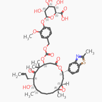 C=CC[C@H]1C(=O)C(C)(C)[C@@H](OC(=O)OCc2ccc(O[C@@H]3O[C@H](C(=O)O)[C@@H](O)[C@H](O)[C@H]3O)c(OC)c2)CC(=O)O[C@H](c2ccc3sc(C)nc3c2)C[C@@H]2O[C@]2(C)CCC[C@H](C)[C@@H]1O